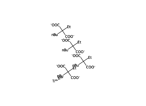 CCCCC(CC)(C(=O)[O-])C(=O)[O-].CCCCC(CC)(C(=O)[O-])C(=O)[O-].CCCCC(CC)(C(=O)[O-])C(=O)[O-].CCCCC(CC)(C(=O)[O-])C(=O)[O-].[Ti+4].[Ti+4]